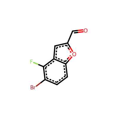 O=Cc1cc2c(F)c(Br)ccc2o1